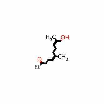 CCC(=O)CCC=C(C)CCC=C(C)CO